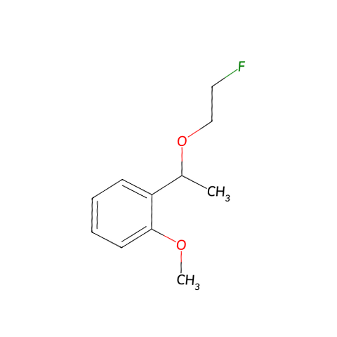 COc1ccccc1C(C)OCCF